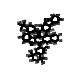 Cc1cc2c(cc1N1c3cc4ccccc4c4c3B(c3c1sc1ccccc31)N(c1ccc(C(C)(C)C)cc1)c1cc3oc5ccccc5c3cc1-4)C(C)(C)CCC2(C)C